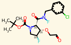 CC(C)(C)OC(=O)N1C[C@H](F)[C@@H](OCC=O)[C@H]1C(=O)N(F)Cc1cccc(Cl)c1